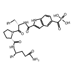 CC(C)C[C@H](NC(=O)c1cc2cc(C(=O)P(=O)(O)O)ccc2[nH]1)C(=O)N1CCC[C@H]1C(=O)N[C@@H](CCC(N)=O)C(C)C